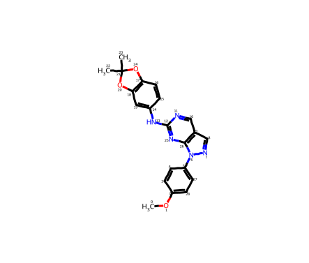 COc1ccc(-n2ncc3cnc(Nc4ccc5c(c4)OC(C)(C)O5)nc32)cc1